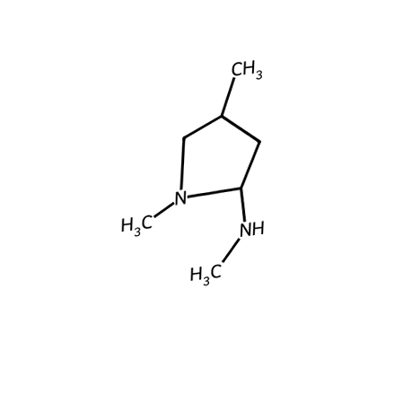 CNC1CC(C)CN1C